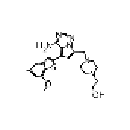 COc1cc(C)cc2cc(-c3cc(CN4CCN(CCO)CC4)n4ncnc(N)c34)sc12